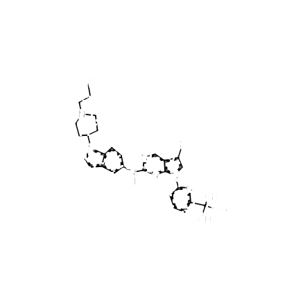 [CH2]C(C)(O)c1cccc(-n2cc(F)c3cnc(Nc4ccc5c(ccn5C5CCN(CCO)CC5)c4)nc32)n1